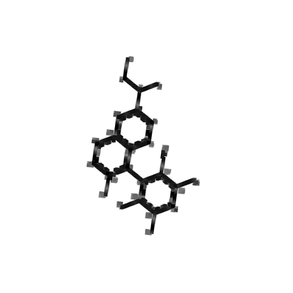 CCC(C)c1ccc2c(-c3c(C)c(C)cc(C)c3F)[n+](C)ccc2c1